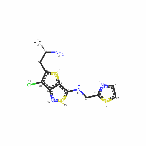 C[C@H](N)Cc1sc2c(NCc3nccs3)snc2c1Cl